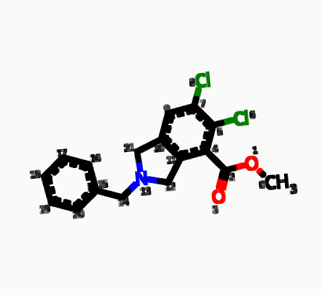 COC(=O)c1c(Cl)c(Cl)cc2c1CN(Cc1ccccc1)C2